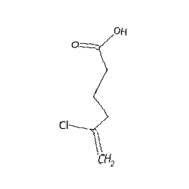 C=C(Cl)CCCC(=O)O